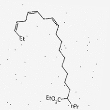 CC/C=C\C/C=C\C/C=C\CCCCCCCCC(CCC)C(=O)OCC